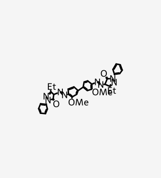 CCC1=NN(c2ccccc2)C(=O)C1N=Nc1ccc(-c2ccc(N=NC3C(=O)N(c4ccccc4)N=C3CC)c(OC)c2)cc1OC